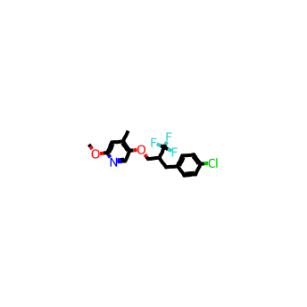 COc1cc(C)c(OCC(Cc2ccc(Cl)cc2)C(F)(F)F)cn1